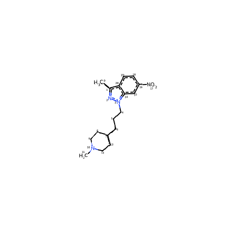 Cc1nn(CCCC2CCN(C)CC2)c2cc([N+](=O)[O-])ccc12